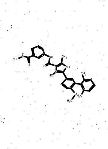 CNC(=S)c1cccc(NC(=O)c2c(C)[nH]c(-c3ccc(OC)c(-c4c(C)cccc4C)c3)[n+]2O)c1